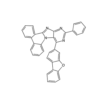 c1ccc(-c2nc(-c3ccc4c(c3)oc3ccccc34)c3c(n2)nc2c4ccccc4c4ccccc4n23)cc1